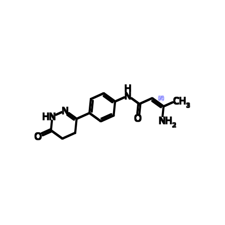 C/C(N)=C/C(=O)Nc1ccc(C2=NNC(=O)CC2)cc1